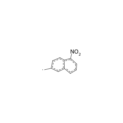 [CH2]c1ccc2c([N+](=O)[O-])cccc2c1